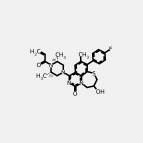 C=CC(=O)N1[C@H](C)CN(c2nc(=O)n3c4c(c(-c5ccc(F)cc5)c(C)cc24)SCC(O)C3)C[C@@H]1C